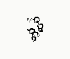 Cc1ccc(C(=O)N2CC3CCN(c4nccc(C(F)(F)F)n4)CC32)c(-n2ccnn2)n1